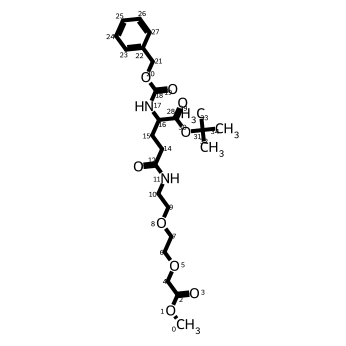 COC(=O)COCCOCCNC(=O)CCC(NC(=O)OCc1ccccc1)C(=O)OC(C)(C)C